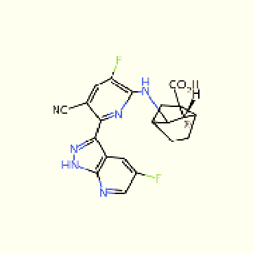 N#Cc1cc(F)c(NC2C3CCC(CC3)[C@H]2C(=O)O)nc1-c1n[nH]c2ncc(F)cc12